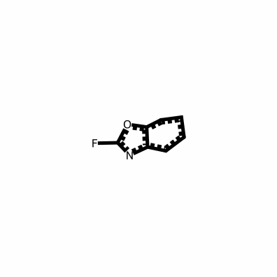 Fc1nc2ccccc2o1